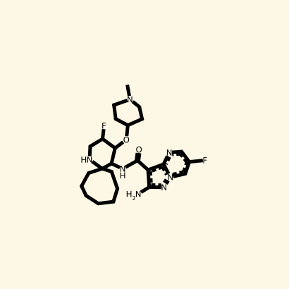 CN1CCC(OC2C(F)CNC3(CCCCCCC3)C2NC(=O)c2c(N)nn3cc(F)cnc23)CC1